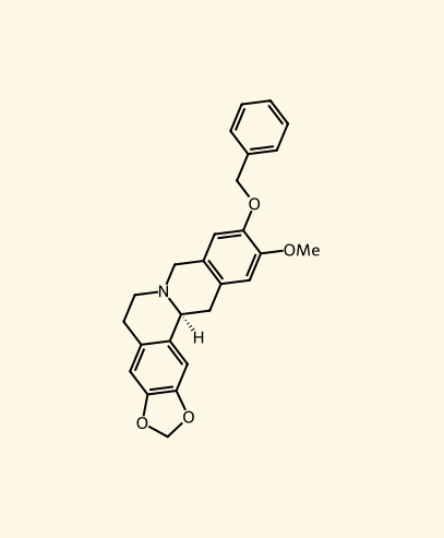 COc1cc2c(cc1OCc1ccccc1)CN1CCc3cc4c(cc3[C@@H]1C2)OCO4